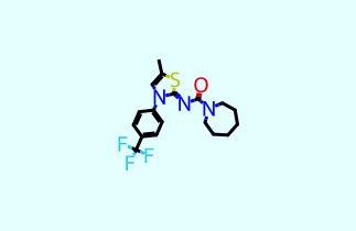 Cc1cn(-c2ccc(C(F)(F)F)cc2)c(=NC(=O)N2CCCCCC2)s1